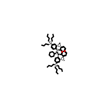 CCCC[Si](CCCC)(CCCC)c1ccc(P(c2ccccc2OC)N(C2CCCCC2)P(c2ccc([Si](CCCC)(CCCC)CCCC)cc2)c2ccccc2OC)cc1